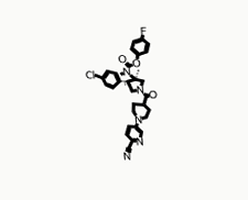 CN(C(=O)Oc1ccc(F)cc1)[C@@]1(C)CN(C(=O)C2CCN(c3ccc(C#N)nc3)CC2)C[C@@H]1c1ccc(Cl)cc1